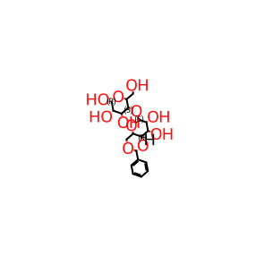 OCC1O[C@@H](O)C(O)C(O)[C@@H]1O[C@@H]1OC2COC(c3ccccc3)O[C@@H]2C(O)C1O